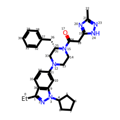 CCc1nn(C2CCCC2)c2cc(N3CCN(C(=O)Cc4nc(C)n[nH]4)[C@@H](Cc4ccccc4)C3)ccc12